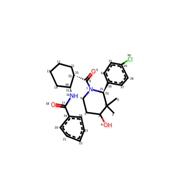 CC1(C)C(O)CCN(C(=O)[C@H]2CCCC[C@H]2NC(=O)c2ccccc2)[C@H]1c1ccc(Cl)cc1